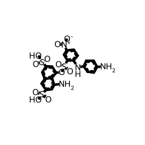 Nc1ccc(Nc2ccc([N+](=O)[O-])cc2S(=O)(=O)Oc2cc(S(=O)(=O)O)cc3cc(S(=O)(=O)O)cc(N)c23)cc1